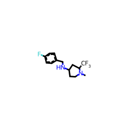 CN1CCC(NCc2ccc(F)cc2)CC1C(F)(F)F